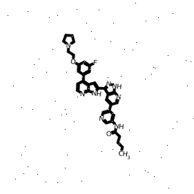 CCCCC(=O)Nc1cncc(-c2cnc3[nH]nc(-c4cc5c(-c6cc(F)cc(OCCN7CCCC7)c6)ccnc5[nH]4)c3c2)c1